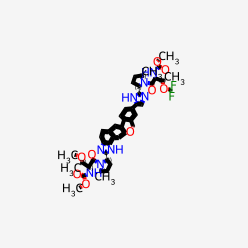 COC(=O)NC(C(=O)N1[C@@H](C)CC[C@H]1c1ncc(-c2ccc3c(c2)COc2cc4c(ccc5nc([C@@H]6CC[C@H](C)N6C(=O)[C@@H](NC(=O)OC)[C@@H](C)OC)[nH]c54)cc2-3)[nH]1)[C@@H](C)OC(F)F